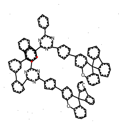 c1ccc(-c2nc(-c3ccc(-c4cccc(-c5ccccc5-c5nc(-c6ccc(-c7ccc8c(c7)Oc7ccccc7C87c8ccccc8-c8ccccc87)cc6)nc(-c6ccc7ccccc7c6)n5)c4)cc3)nc(-c3ccc(-c4ccc5c(c4)Oc4ccccc4C54c5ccccc5-c5ccccc54)cc3)n2)cc1